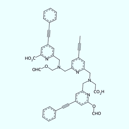 CC#Cc1cc(CN(CC(=O)O)Cc2cc(C#Cc3ccccc3)cc(OC=O)n2)nc(CN(COC=O)Cc2cc(C#Cc3ccccc3)cc(C(=O)O)n2)c1